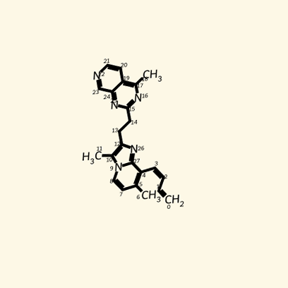 C=C/C=C\c1c(C)ccn2c(C)c(CCc3nc(C)c4ccncc4n3)nc12